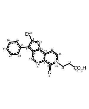 CCc1nn2c(nnc3c(=O)n(CCC(=O)O)ccc32)c1-c1ccccc1